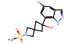 CS(=O)(=O)N1CC2(C1)CC(O)(c1cc(Cl)cc3cn[nH]c13)C2